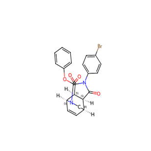 O=C1[C@@H]2[C@H](C(=O)N1c1ccc(Br)cc1)[C@@H]1C=C[C@H]2CN1C(=O)Oc1ccccc1